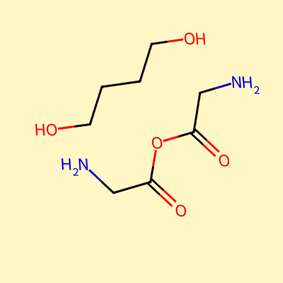 NCC(=O)OC(=O)CN.OCCCCO